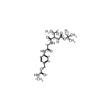 CNC(=O)OCc1ccc(NC(=O)CNC(=O)C(NC(=O)OC(C)(C)C)C(C)C)cc1